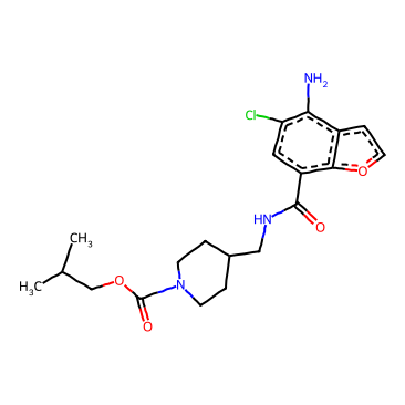 CC(C)COC(=O)N1CCC(CNC(=O)c2cc(Cl)c(N)c3ccoc23)CC1